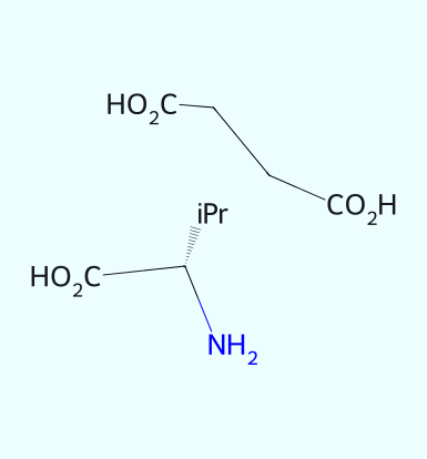 CC(C)[C@H](N)C(=O)O.O=C(O)CCC(=O)O